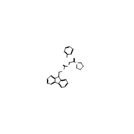 O=C(N[C@H](Cc1ccccc1)C(=O)N1CCC[C@H]1C(=O)O)OCC1c2ccccc2-c2ccccc21